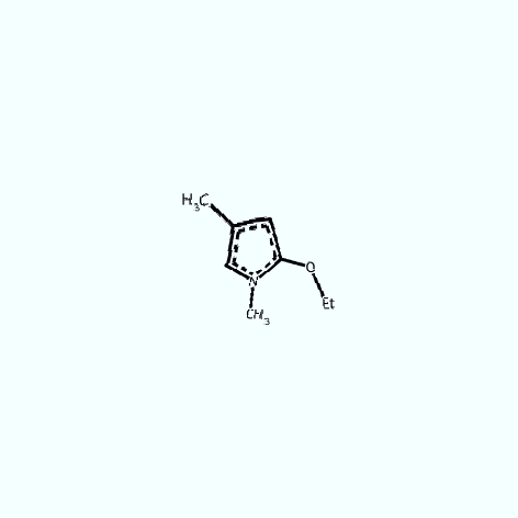 CCOc1cc(C)cn1C